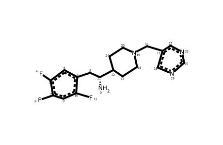 N[C@H](Cc1cc(F)c(F)cc1F)C1CCN(Cc2cncnc2)CC1